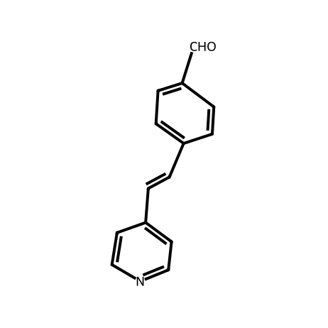 O=Cc1ccc(C=Cc2ccncc2)cc1